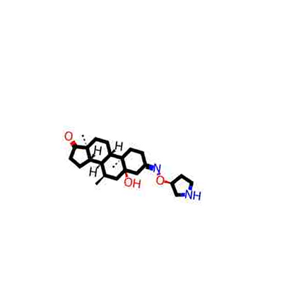 C[C@@H]1C[C@@]2(O)CC(=NO[C@H]3CCNC3)CC[C@]2(C)[C@H]2CC[C@]3(C)C(=O)CC[C@H]3[C@H]12